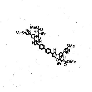 COC(=O)N[C@H](C(=O)N1C[C@H](n2cc(SC)nn2)C[C@H]1c1ncc(-c2ccc(-c3ccc(-c4cnc([C@@H]5C[C@@H](n6cc(SC)nn6)CN5C(=O)[C@@H](NC(=O)OC)C(C)C)[nH]4)cc3)cc2)[nH]1)C(C)C